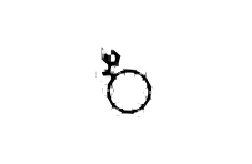 O=C(C1=COCCOCCOCCOCCOCCO1)c1cccnc1